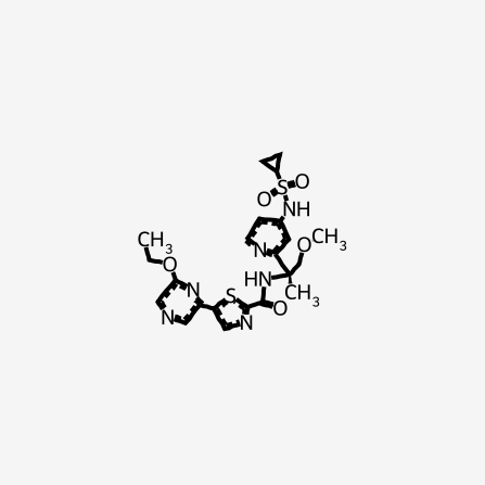 CCOc1cncc(-c2cnc(C(=O)N[C@@](C)(COC)c3cc(NS(=O)(=O)C4CC4)ccn3)s2)n1